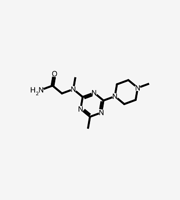 Cc1nc(N(C)CC(N)=O)nc(N2CCN(C)CC2)n1